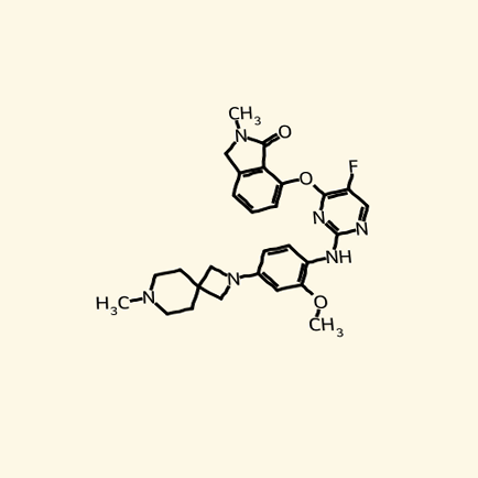 COc1cc(N2CC3(CCN(C)CC3)C2)ccc1Nc1ncc(F)c(Oc2cccc3c2C(=O)N(C)C3)n1